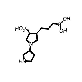 O=C(O)[C@@H]1CN(C2CCNC2)C[C@@H]1CCCB(O)O